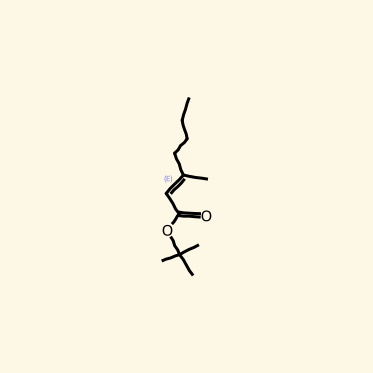 CCCC/C(C)=C/C(=O)OC(C)(C)C